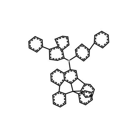 c1ccc(-c2ccc(N(c3ccc(-c4ccccc4)c4ccccc34)c3cc4c5c6c(cccc36)-c3ccccc3C5(c3ccccc3)c3ccccc3-4)cc2)cc1